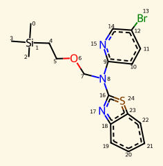 C[Si](C)(C)CCOCN(c1ccc(Br)cn1)c1nc2ccccc2s1